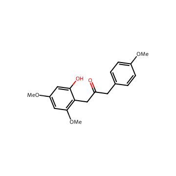 COc1ccc(CC(=O)Cc2c(O)cc(OC)cc2OC)cc1